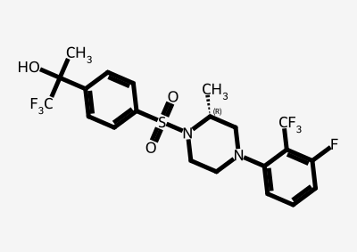 C[C@@H]1CN(c2cccc(F)c2C(F)(F)F)CCN1S(=O)(=O)c1ccc(C(C)(O)C(F)(F)F)cc1